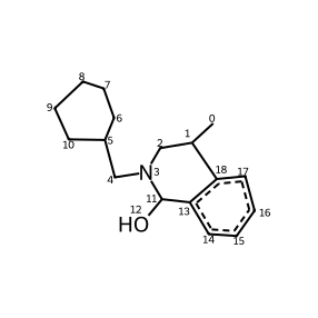 CC1CN(CC2CCCCC2)C(O)c2ccccc21